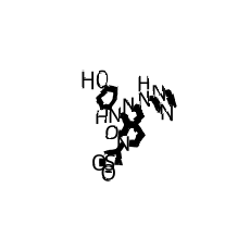 O=c1c2c(N[C@H]3CC[C@@H](O)CC3)nc(Nc3cnccn3)cc2ccn1C1CS(=O)(=O)C1